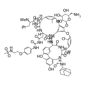 CN[C@H](CC(C)C)C(=O)N[C@H]1C(=O)N[C@@H](CC(=O)NC(=O)Nc2ccc(OCCNS(C)(=O)=O)cc2)C(=O)N[C@H]2C(=O)N[C@H]3C(=O)N[C@H](C(=O)N[C@H](C(=O)NC4C5CC6CC(C5)CC4C6)c4cc(O)cc(C)c4-c4cc3ccc4O)[C@H](O)c3ccc(c(Cl)c3)Oc3cc2cc(c3O[C@@H]2O[C@H](CN)[C@@H](O)[C@H](O)[C@H]2O)Oc2ccc(cc2C)[C@H]1O